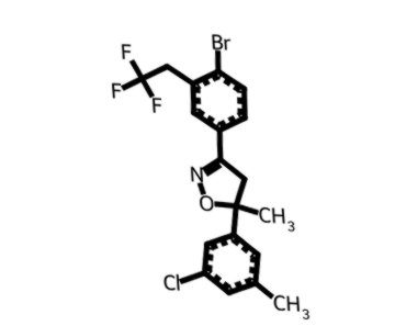 Cc1cc(Cl)cc(C2(C)CC(c3ccc(Br)c(CC(F)(F)F)c3)=NO2)c1